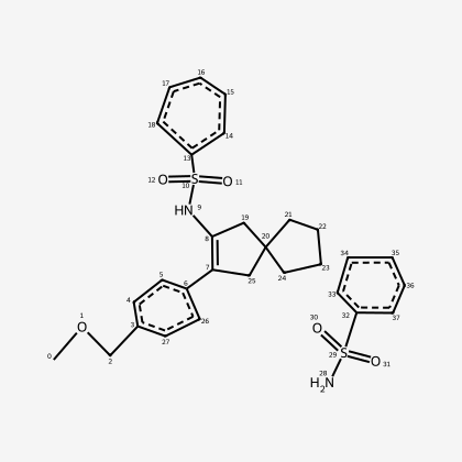 COCc1ccc(C2=C(NS(=O)(=O)c3ccccc3)CC3(CCCC3)C2)cc1.NS(=O)(=O)c1ccccc1